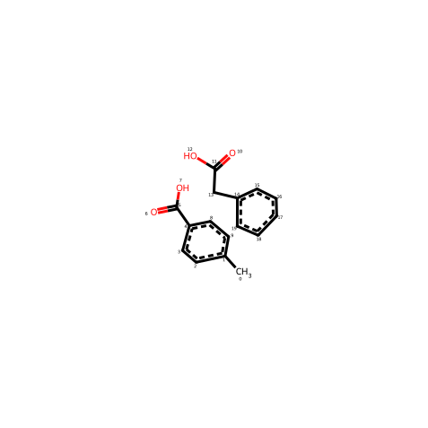 Cc1ccc(C(=O)O)cc1.O=C(O)Cc1ccccc1